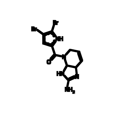 NC1=NC2C=CCN(C(=O)c3cc(Br)c(Br)[nH]3)C2N1